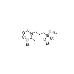 CCOC(C)N(CCC[Si](CC)(OCC)OCC)C(C)OCC